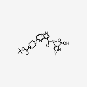 Cn1cc(NC(=O)c2cnn3ccc(N4CCN(C(=O)OC(C)(C)C)CC4)nc23)c(C(=O)O)n1